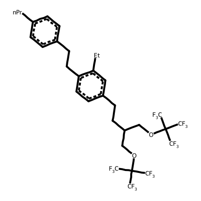 CCCc1ccc(CCc2ccc(CCC(COC(C(F)(F)F)(C(F)(F)F)C(F)(F)F)COC(C(F)(F)F)(C(F)(F)F)C(F)(F)F)cc2CC)cc1